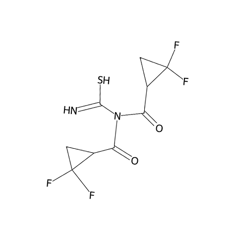 N=C(S)N(C(=O)C1CC1(F)F)C(=O)C1CC1(F)F